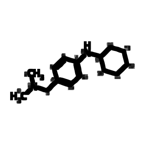 CN(C)Cc1ccc(NC2CCCCC2)cc1